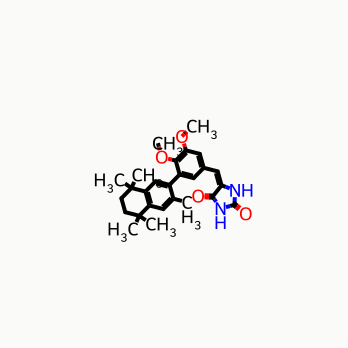 COc1cc(C=C2NC(=O)NC2=O)cc(-c2cc3c(cc2C)C(C)(C)CCC3(C)C)c1OC